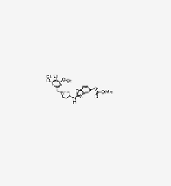 CCOc1cc(CN2CCC(Nc3nc4cc(OC(=O)OC)ccc4o3)CC2)cc(OCC)c1Cl